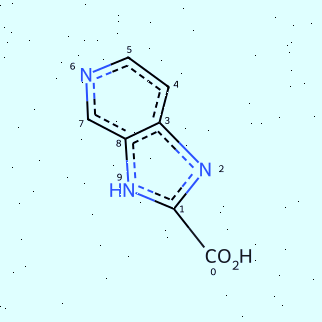 O=C(O)c1nc2ccncc2[nH]1